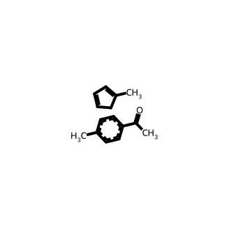 CC(=O)c1ccc(C)cc1.CC1=CC=CC1